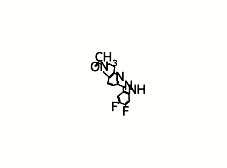 CC(=O)N1CCc2nc(-c3n[nH]c4cc(F)c(F)cc34)ccc2C1